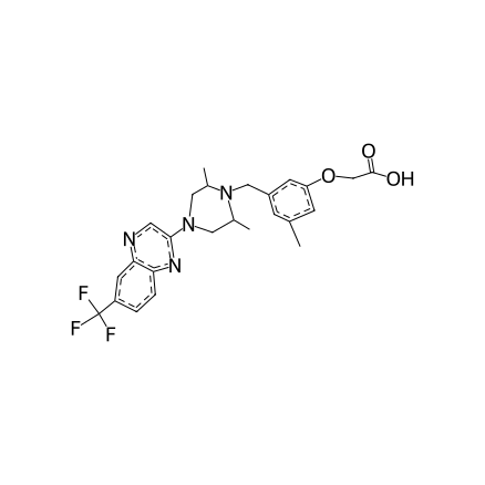 Cc1cc(CN2C(C)CN(c3cnc4cc(C(F)(F)F)ccc4n3)CC2C)cc(OCC(=O)O)c1